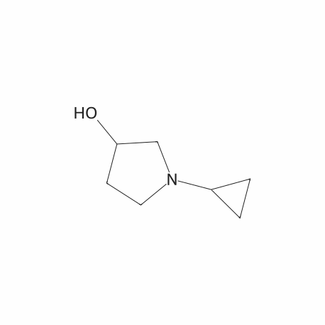 OC1CCN(C2CC2)C1